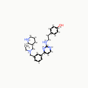 CCN(Cc1cccc(-c2ccnc(NCCc3ccc(O)cc3)n2)c1)C[C@@H]1CCCNC1